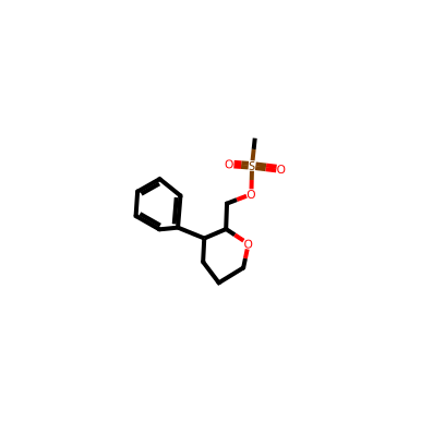 CS(=O)(=O)OCC1OCCCC1c1ccccc1